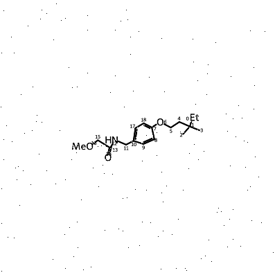 CCC(C)(C)CCOc1ccc(CNC(=O)COC)cc1